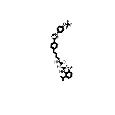 COc1cccc(C(C)C)c1NC(=S)NC(=O)NCCCCc1ccc(-c2ncn(-c3ccc(OC(F)(F)F)cc3)n2)cc1